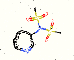 CS(=O)(=O)N(c1[c]nccc1)S(C)(=O)=O